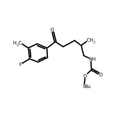 Cc1cc(C(=O)CCC(C)CNC(=O)OC(C)(C)C)ccc1F